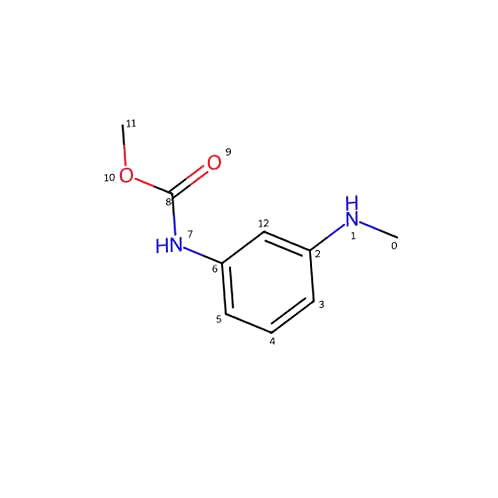 CNc1cccc(NC(=O)OC)c1